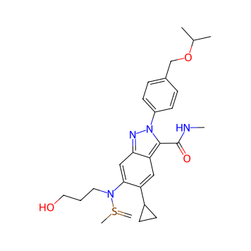 C=S(C)N(CCCO)c1cc2nn(-c3ccc(COC(C)C)cc3)c(C(=O)NC)c2cc1C1CC1